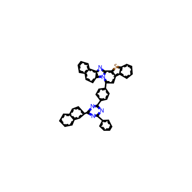 c1ccc(-c2nc(-c3ccc(-c4cc5c6ccccc6sc5c5nc6c7ccccc7ccc6n45)cc3)nc(-c3ccc4ccccc4c3)n2)cc1